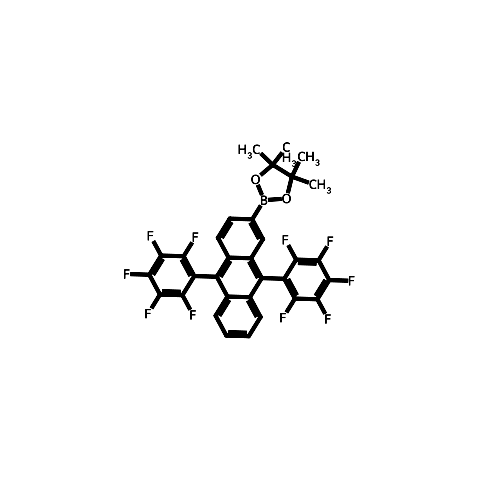 CC1(C)OB(c2ccc3c(-c4c(F)c(F)c(F)c(F)c4F)c4ccccc4c(-c4c(F)c(F)c(F)c(F)c4F)c3c2)OC1(C)C